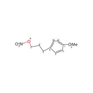 COc1ccc(CCCO[N+](=O)[O-])cc1